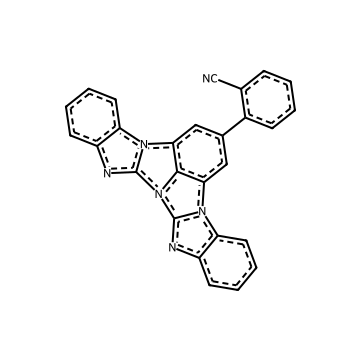 N#Cc1ccccc1-c1cc2c3c(c1)n1c4ccccc4nc1n3c1nc3ccccc3n21